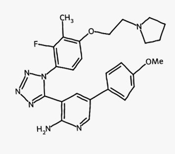 COc1ccc(-c2cnc(N)c(-c3nnnn3-c3ccc(OCCN4CCCC4)c(C)c3F)c2)cc1